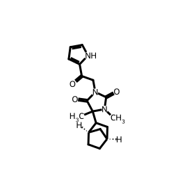 CN1C(=O)N(CC(=O)c2ccc[nH]2)C(=O)C1(C)C1C[C@H]2CC[C@@H]1C2